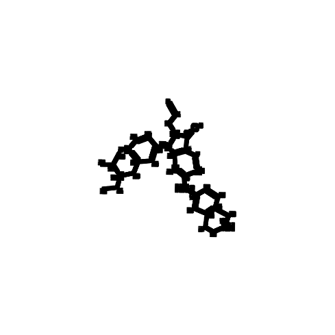 C=CCn1c(=O)c2cnc(Nc3ccc4c(c3)CCNC4)nc2n1-c1ccnc(CN(CC)C(C)C)c1